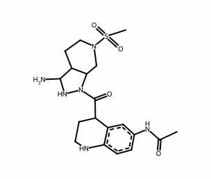 CC(=O)Nc1ccc2c(c1)C(C(=O)N1NC(N)C3CCN(S(C)(=O)=O)CC31)CCN2